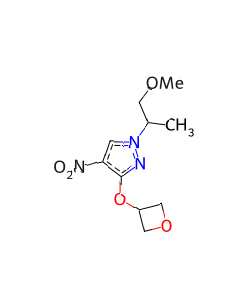 COCC(C)n1cc([N+](=O)[O-])c(OC2COC2)n1